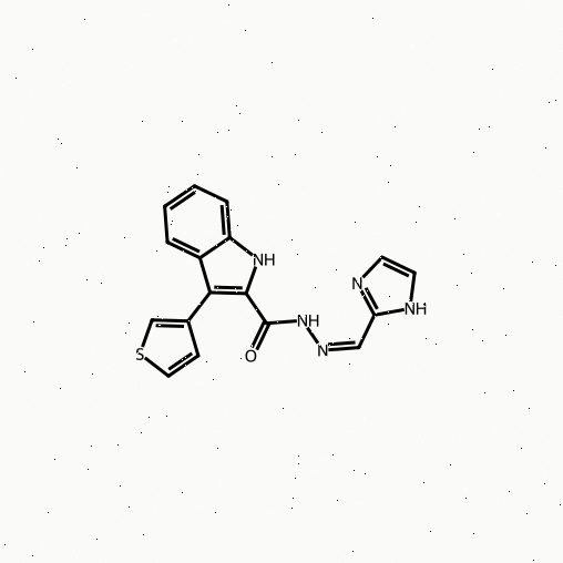 O=C(N/N=C\c1ncc[nH]1)c1[nH]c2ccccc2c1-c1ccsc1